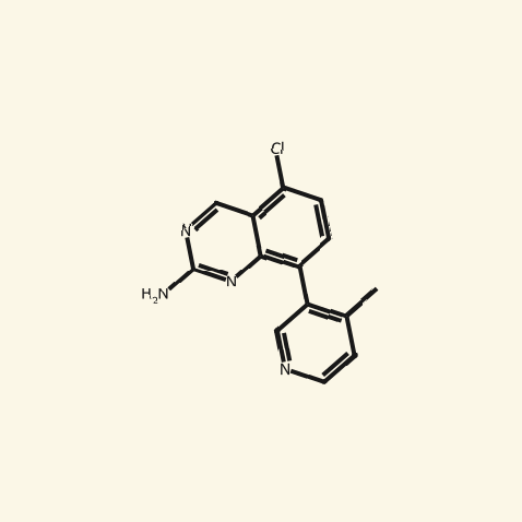 Cc1ccncc1-c1ccc(Cl)c2cnc(N)nc12